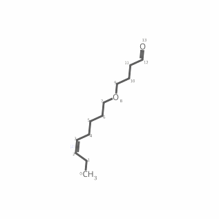 CC/C=C\CCCCOCCCC=O